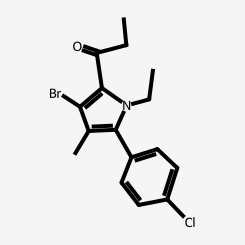 CCC(=O)c1c(Br)c(C)c(-c2ccc(Cl)cc2)n1CC